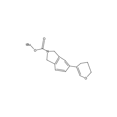 CC(C)(C)OC(=O)N1Cc2ccc(C3=COCCC3)cc2C1